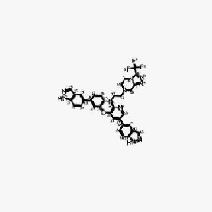 FC(F)(F)c1nnc2n1CCN(CCN1c3ccc(-c4ccc5[nH]ncc5c4)cc3Oc3cc(-c4ccc5[nH]ncc5c4)cnc31)C2